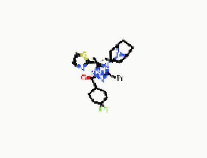 Cc1nnc(C(C)C)n1C1CC2CCC(C1)N2CC[C@H](NC(=O)C1CCC(F)(F)CC1)c1nccs1